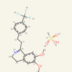 COc1cc2c(cc1OC)C(CCc1ccc(C(F)(F)F)cc1)=NCC2.CS(=O)(=O)O